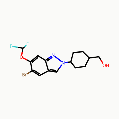 OCC1CCC(n2cc3cc(Br)c(OC(F)F)cc3n2)CC1